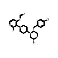 C[C@H]1CN(C2CCN(c3c(OC=O)ccnc3F)CC2)[C@@H](Cc2ccc(Cl)cc2)CO1